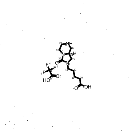 O=C(O)C(F)(F)F.O=C(O)CCCCN1C[C@@H]2CNCCN2C1=O